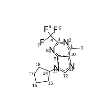 Cc1nc(C(F)(F)F)nc2c1ncn2C1CCCC1